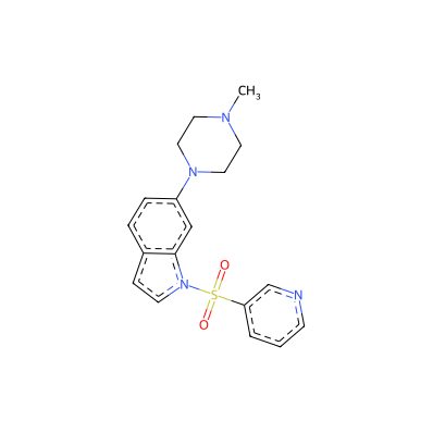 CN1CCN(c2ccc3ccn(S(=O)(=O)c4cccnc4)c3c2)CC1